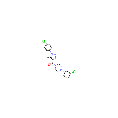 Cc1c(C(=O)N2CCN(c3cccc(Cl)c3)CC2)cnn1-c1ccc(Cl)cc1